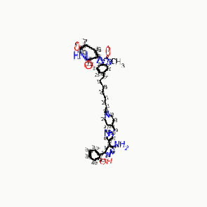 Cn1c(=O)n(C2CCC(=O)NC2=O)c2ccc(CCCCCCCCN3CCC(Cn4cc(-c5cc(-c6ccccc6O)nnc5N)cn4)CC3)cc21